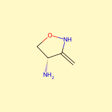 C=C1NOC[C@H]1N